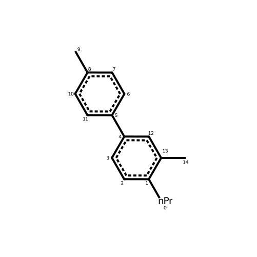 [CH2]CCc1ccc(-c2ccc(C)cc2)cc1C